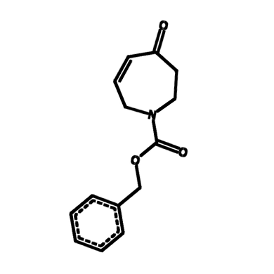 O=C1C=CCN(C(=O)OCc2ccccc2)CC1